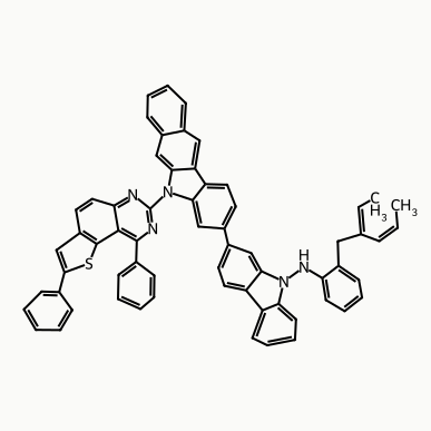 C/C=C\C(=C/C)Cc1ccccc1Nn1c2ccccc2c2ccc(-c3ccc4c5cc6ccccc6cc5n(-c5nc(-c6ccccc6)c6c(ccc7cc(-c8ccccc8)sc76)n5)c4c3)cc21